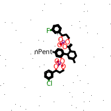 C=C(C)C1CCC(C)=CC1c1c(OP2(=O)OCCC(c3cccc(F)c3)O2)cc(CCCCC)cc1OP1(=O)OCCC(c2cccc(Cl)c2)O1